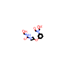 O=CN(CO)c1cccc(OC2CN(C(=O)NCO)C2)c1